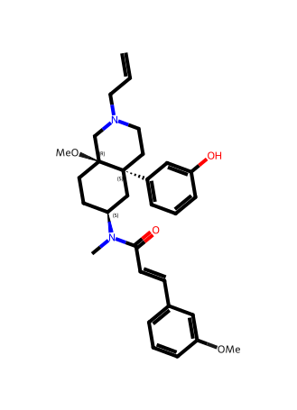 C=CCN1CC[C@@]2(c3cccc(O)c3)C[C@@H](N(C)C(=O)C=Cc3cccc(OC)c3)CC[C@]2(OC)C1